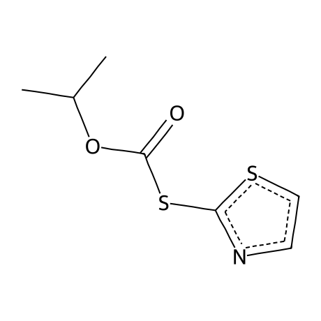 CC(C)OC(=O)Sc1nccs1